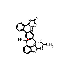 CC(C)Oc1nc2cccc(C(=O)O)c2n1Cc1ccc(-c2ccccc2-c2nc(=S)o[nH]2)cc1